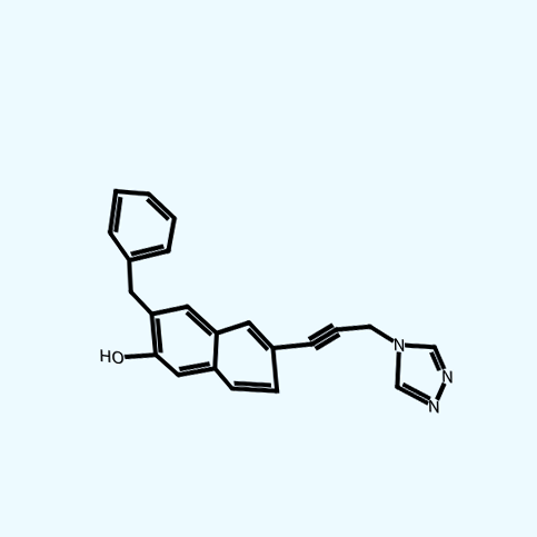 Oc1cc2ccc(C#CCn3cnnc3)cc2cc1Cc1ccccc1